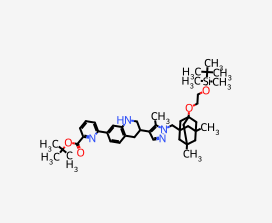 Cc1c(C2CNc3cc(-c4cccc(C(=O)OC(C)(C)C)n4)ccc3C2)cnn1CC12CC3(C)CC(C)(C1)CC(OCCO[Si](C)(C)C(C)(C)C)(C3)C2